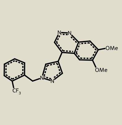 COc1cc2nncc(-c3cnn(Cc4ccccc4C(F)(F)F)c3)c2cc1OC